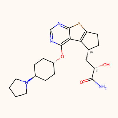 NC(=O)[C@@H](O)C[C@H]1CCc2sc3ncnc(O[C@H]4CC[C@H](N5CCCC5)CC4)c3c21